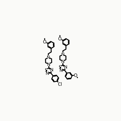 COc1cccc(CCN2CCN(c3nc(-c4ccc(Cl)cc4)ns3)CC2)c1.COc1cccc(CCN2CCN(c3nc(-c4cccc(OC)c4)ns3)CC2)c1